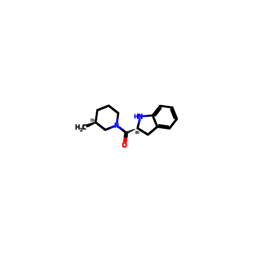 C[C@H]1CCCN(C(=O)[C@H]2Cc3ccccc3N2)C1